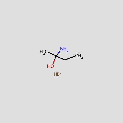 Br.CCC(C)(N)O